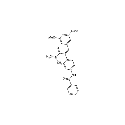 COc1cc(/C=C(\C(=O)N(C)C)c2ccc(NC(=O)c3ccccc3)cc2)cc(OC)c1